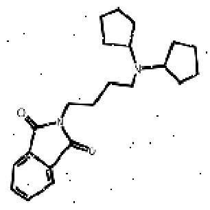 O=C1c2ccccc2C(=O)N1CCCCN(C1CCCC1)C1CCCC1